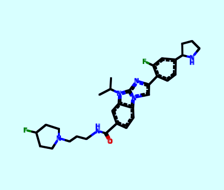 CC(C)n1c2cc(C(=O)NCCCN3CCC(F)CC3)ccc2n2cc(-c3ccc(C4CCCN4)cc3F)nc12